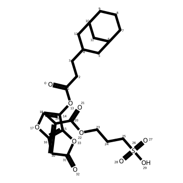 O=C(CCC1CC2CCCC(C2)C1)Oc1c2c3oc1c(C(=O)OCCCS(=O)(=O)O)c3C(=O)O2